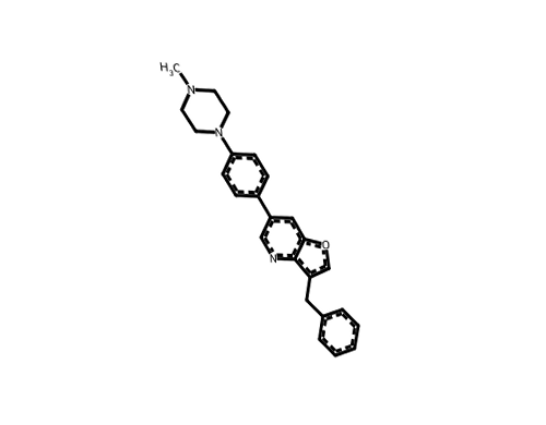 CN1CCN(c2ccc(-c3cnc4c(Cc5ccccc5)coc4c3)cc2)CC1